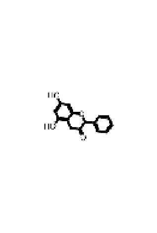 O=C1Cc2c(O)cc(O)cc2OC1c1ccccc1